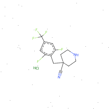 Cl.N#CC1(Cc2c(F)cc(C(F)(F)F)cc2F)CCNCC1